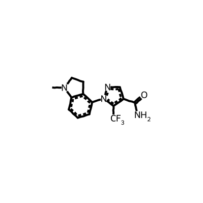 CN1CCc2c1cccc2-n1ncc(C(N)=O)c1C(F)(F)F